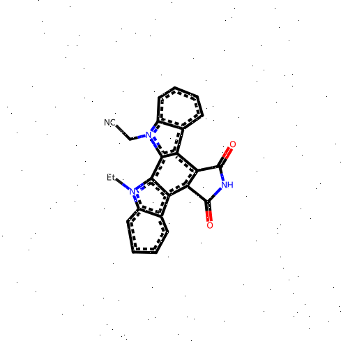 CCn1c2ccccc2c2c3c(c4c5ccccc5n(CC#N)c4c21)C(=O)NC3=O